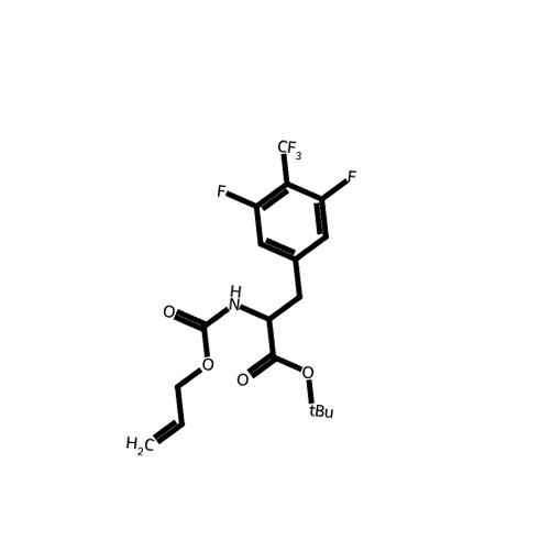 C=CCOC(=O)NC(Cc1cc(F)c(C(F)(F)F)c(F)c1)C(=O)OC(C)(C)C